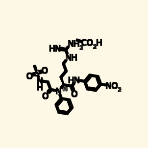 CC(=O)O.CS(=O)(=O)NCC(=O)N(c1ccccc1)[C@@H](CCCNC(=N)N)C(=O)Nc1ccc([N+](=O)[O-])cc1